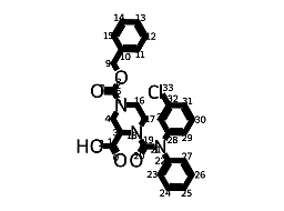 O=C(O)C1CN(C(=O)OCc2ccccc2)CCN1C(=O)N(c1ccccc1)c1cccc(Cl)c1